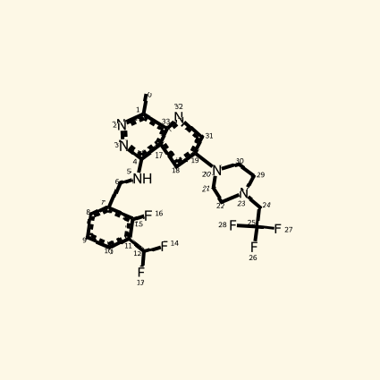 Cc1nnc(NCc2cccc(C(F)F)c2F)c2cc(N3CCN(CC(F)(F)F)CC3)cnc12